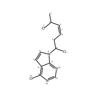 CC(Cl)/C=C\CC(Cl)n1ccc2c(Cl)ncnc21